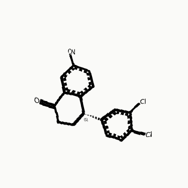 N#Cc1ccc2c(c1)C(=O)CC[C@H]2c1ccc(Cl)c(Cl)c1